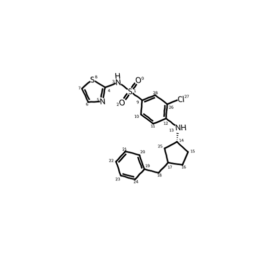 O=S(=O)(Nc1nccs1)c1ccc(N[C@@H]2CCC(Cc3ccccc3)C2)c(Cl)c1